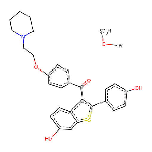 CC(C)OS(=O)(=O)O.O=C(c1ccc(OCCN2CCCCC2)cc1)c1c(-c2ccc(O)cc2)sc2cc(O)ccc12